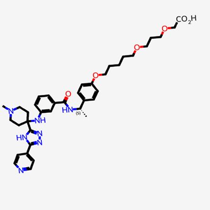 C[C@H](NC(=O)c1cccc(NC2(c3nnc(-c4ccncc4)[nH]3)CCN(C)CC2)c1)c1ccc(OCCCCCOCCCOCC(=O)O)cc1